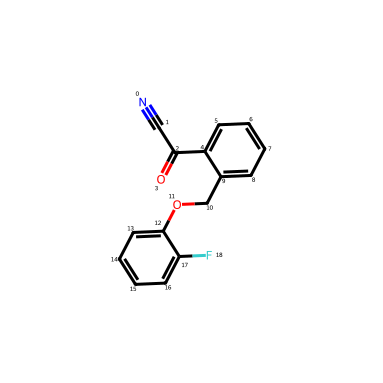 N#CC(=O)c1ccccc1COc1ccccc1F